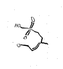 CC(=CCl)CS(=O)(=O)O